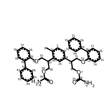 Cc1ccc(C([CH]OC(N)=O)COc2ccccc2-c2ccccc2)cc1C([CH]OC(N)=O)COc1ccccc1-c1ccccc1